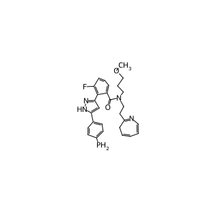 COCCCN(CCC1=NC=CC=CC1)C(=O)c1cccc(F)c1-c1cc(-c2ccc(P)cc2)[nH]n1